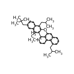 Cc1c2c(c(CC(C)C)c3ccc(CC(C)(C)C)cc13)Oc1cc3cccc(CC(C)C)c3c3cc[n+](C)c-2c13